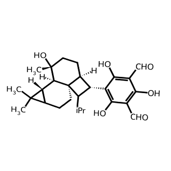 CC(C)C1[C@@H](c2c(O)c(C=O)c(O)c(C=O)c2O)[C@@H]2CC[C@@](C)(O)[C@@H]3[C@@H]4C(CC[C@]132)C4(C)C